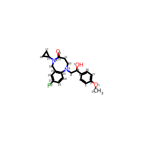 COc1ccc(C(O)CN2CCC(=O)N(C3CC3)Cc3cc(F)ccc32)cc1